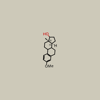 COc1ccc2c(c1)CCC1C2CC[C@]2(C)C(O)CC[C@@H]12